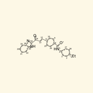 CCc1ccc(NC(=O)c2ccc(C=CC(=O)c3nc4ccccc4[nH]3)cc2)cc1